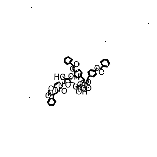 O=C(Oc1ccc(COP(=O)(OCc2ccc(OC(=O)c3ccccc3)cc2)OP(=O)(O)OC[C@H]2O[C@@H](n3ccc(=O)n(Cc4noc5ccccc45)c3=O)[C@@H](O)[C@H]2O)cc1)c1ccccc1